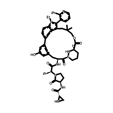 CCn1c(-c2cccnc2C(C)C)c2c3cc(ccc31)-c1cc(O)cc(c1)C[C@H](NC(=O)[C@H](C(C)C)N1CC[C@@H](NC(=O)[C@@H]3CN3)C1=O)C(=O)N1CCC[C@H](N1)C(=O)OCC(C)(C)C2